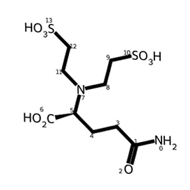 NC(=O)CC[C@@H](C(=O)O)N(CCS(=O)(=O)O)CCS(=O)(=O)O